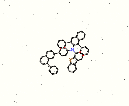 c1ccc(-c2cc3ccccc3c(-c3ccccc3)c2N(c2ccc(-c3ccc4cccc(-c5ccccc5)c4c3)cc2)c2cccc3c2sc2ccccc23)cc1